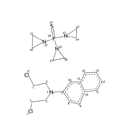 ClCCN(CCCl)c1ccc2ccccc2c1.S=P(N1CC1)(N1CC1)N1CC1